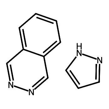 c1ccc2cnncc2c1.c1cn[nH]c1